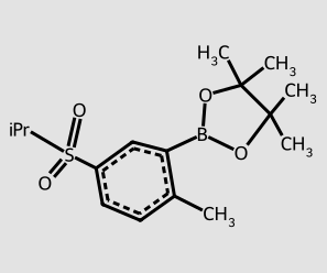 Cc1ccc(S(=O)(=O)C(C)C)cc1B1OC(C)(C)C(C)(C)O1